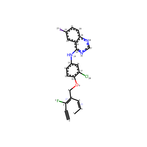 C#C/C(F)=C(\C=C/C)COc1ccc(Nc2ncnc3ccc(I)cc23)cc1Cl